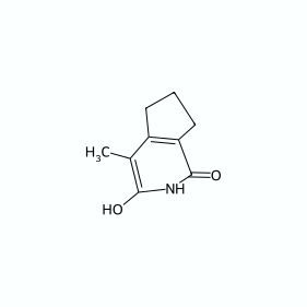 Cc1c(O)[nH]c(=O)c2c1CCC2